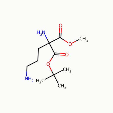 COC(=O)C(N)(CCCN)C(=O)OC(C)(C)C